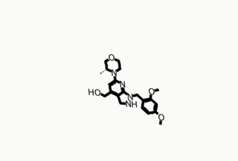 COc1ccc(CN2NCc3c(CO)cc(N4CCOC[C@H]4C)nc32)c(OC)c1